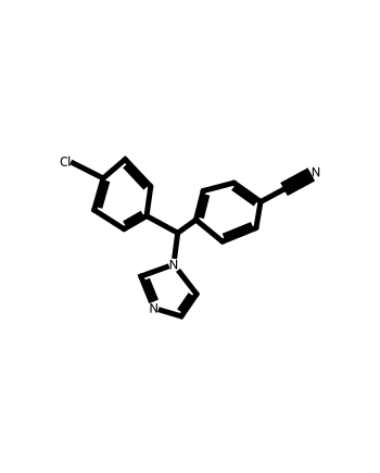 N#Cc1ccc(C(c2ccc(Cl)cc2)n2ccnc2)cc1